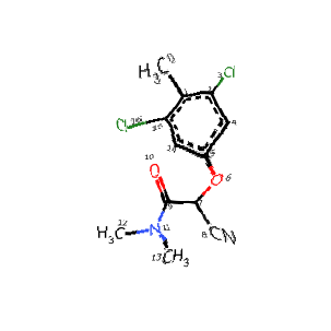 Cc1c(Cl)cc(OC(C#N)C(=O)N(C)C)cc1Cl